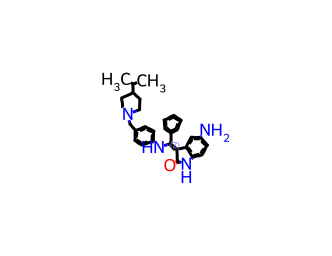 CC(C)C1CCN(Cc2ccc(N/C(=C3\C(=O)Nc4ccc(N)cc43)c3ccccc3)cc2)CC1